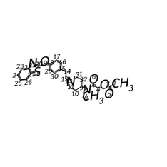 CC(=O)OCC(=O)N(C)C1CCN(CCc2ccc(Oc3nc4ccccc4s3)cc2)CC1